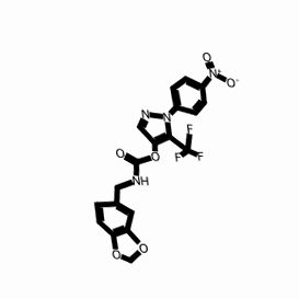 O=C(NCc1ccc2c(c1)OCO2)Oc1cnn(-c2ccc([N+](=O)[O-])cc2)c1C(F)(F)F